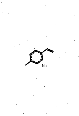 C=Cc1ccc(C)cc1.[Na]